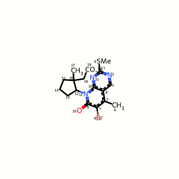 CSc1ncc2c(C)c(Br)c(=O)n(C3CCCC3(C)CC(=O)O)c2n1